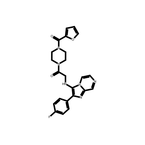 O=C(CNc1c(-c2ccc(F)cc2)nc2cnccn12)N1CCN(C(=O)c2ccco2)CC1